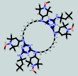 CON1C(C)(C)CC(N2CCCCCCN(C3CC(C)(C)N(OC)C(C)(C)C3)c3nc(NC(C)(C)CC(C)(C)C)nc(n3)N(C3CC(C)(C)N(OC)C(C)(C)C3)CCCCCCN(C3CC(C)(C)N(OC)C(C)(C)C3)c3nc(NC(C)(C)CC(C)(C)C)nc2n3)CC1(C)C